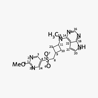 COc1ncc(S(=O)(=O)CC2CC(N(C)c3ncnc4[nH]ccc34)C2)cn1